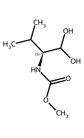 COC(=O)N[C@@H](C(C)C)C(O)O